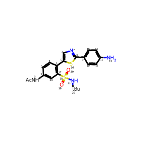 CC(=O)Nc1ccc(-c2cnc(-c3ccc(N)cc3)s2)c(S(=O)(=O)NC(C)(C)C)c1